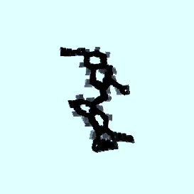 COc1ccc2nc(Cl)c(Cc3cncc4cc(OC)c(OC)cc34)cc2c1